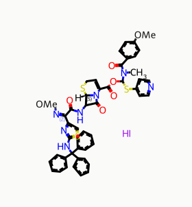 CO/N=C(\C(=O)NC1C(=O)N2C(C(=O)OC(Sc3ccncc3)N(C)C(=O)c3ccc(OC)cc3)=CCS[C@@H]12)c1csc(NC(c2ccccc2)(c2ccccc2)c2ccccc2)n1.I